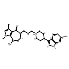 Cc1cn(C)c2c1C(=O)N(CCCN1CCC(c3noc4cc(F)ccc34)CC1)CCC2O